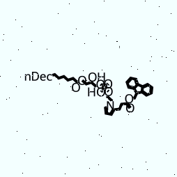 CCCCCCCCCCCCCCCC(=O)OCC(O)COP(=O)(O)OCCn1cccc1CCC(=O)OCC1c2ccccc2-c2ccccc21